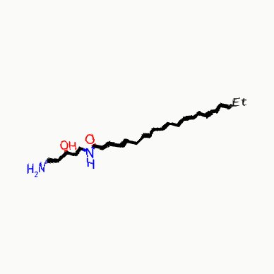 CCC=CCC=CCC=CCC=CCC=CCC=CCCC(=O)NCCC(O)CCN